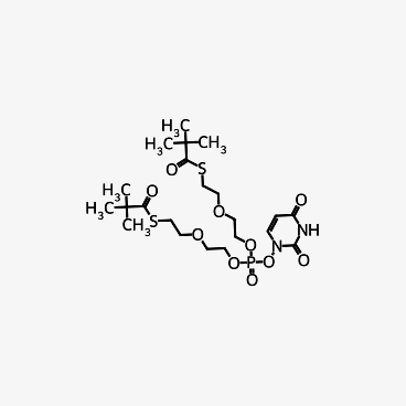 CC(C)(C)C(=O)SCCOCCOP(=O)(OCCOCCSC(=O)C(C)(C)C)On1ccc(=O)[nH]c1=O